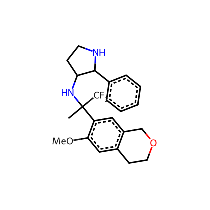 COc1cc2c(cc1C(C)(NC1CCNC1c1ccccc1)C(F)(F)F)COCC2